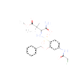 CO[C@](C)(C(=O)OC(C)(C)C)C(NS(=O)(=O)c1ccc(NC(=O)CCl)cc1OCc1ccccc1)C(N)=O